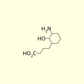 NC1CCCC(CCCC(=O)O)C1O